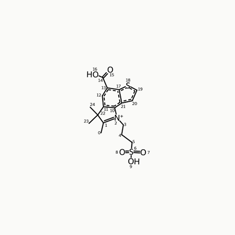 CC1=[N+](CCCS(=O)(=O)O)c2c(cc(C(=O)O)c3sccc23)C1(C)C